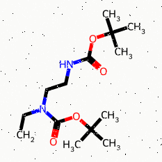 [CH2]CN(CCNC(=O)OC(C)(C)C)C(=O)OC(C)(C)C